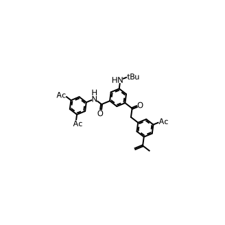 C=C(C)c1cc(CC(=O)c2cc(NC(C)(C)C)cc(C(=O)Nc3cc(C(C)=O)cc(C(C)=O)c3)c2)cc(C(C)=O)c1